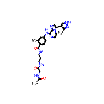 CCc1cc(Nc2nccn3c(-c4c[nH]nc4C(F)(F)F)cnc23)ccc1C(=O)NCCCNC(=O)CNC(=O)C(F)(F)F